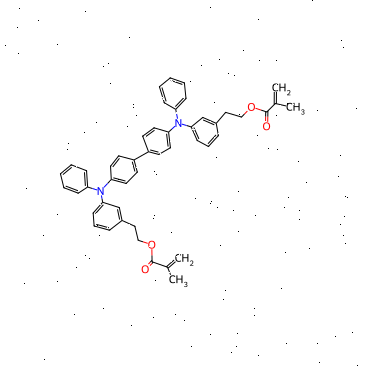 C=C(C)C(=O)OCCc1cccc(N(c2ccccc2)c2ccc(-c3ccc(N(c4ccccc4)c4cccc(CCOC(=O)C(=C)C)c4)cc3)cc2)c1